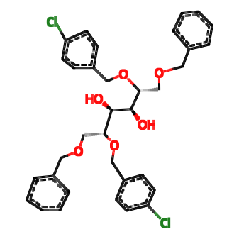 O[C@@H]([C@H](O)[C@@H](COCc1ccccc1)OCc1ccc(Cl)cc1)[C@@H](COCc1ccccc1)OCc1ccc(Cl)cc1